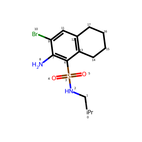 CC(C)CNS(=O)(=O)c1c(N)c(Br)cc2c1CCCC2